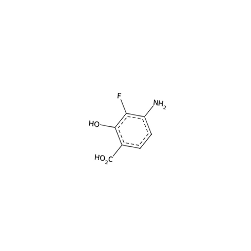 Nc1ccc(C(=O)O)c(O)c1F